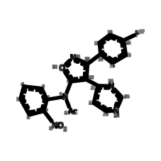 CC(=O)N(c1ccccc1[N+](=O)[O-])c1onc(-c2ccc(F)cc2)c1-c1ccncn1